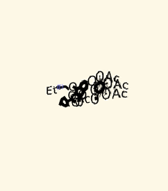 CC/C=C/CCOc1c(OC(=O)c2ccccc2)c(=O)oc2cc(O[C@@H]3O[C@H](COC(C)=O)[C@@H](OC(C)=O)[C@H](OC(C)=O)[C@H]3OC(C)=O)ccc12